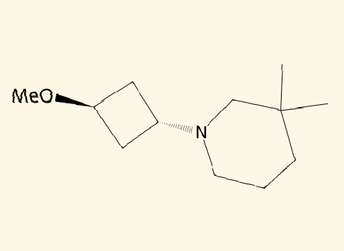 CO[C@H]1C[C@H](N2CCCC(C)(C)C2)C1